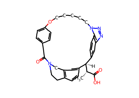 C[C@@H](C(=O)O)[C@H]1c2ccc3c(c2)CN(CC3)C(=O)c2ccc(cc2)OCCCCCn2nnc3cc1ccc32